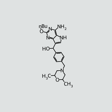 CCCCOc1nc(N)c2[nH]cc(C(O)c3ccc(CN4CC(C)OC(C)C4)cc3)c2n1